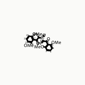 COc1cccc(OC)c1C(=O)C(C(C)C)[PH](=O)C(C(=O)c1c(OC)cccc1OC)C(C)C